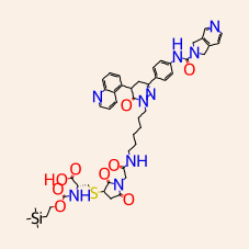 C[Si](C)(C)CCOC(=O)N[C@@H](CSC1CC(=O)N(CC(=O)NCCCCCCN2N=C(c3ccc(NC(=O)N4Cc5ccncc5C4)cc3)CC(c3cccc4ncccc34)C2=O)C1=O)C(=O)O